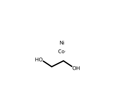 OCCO.[Co].[Ni]